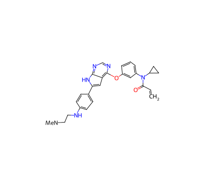 C=CC(=O)N(c1cccc(Oc2ncnc3[nH]c(-c4ccc(NCCNC)cc4)cc23)c1)C1CC1